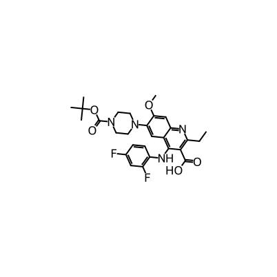 CCc1nc2cc(OC)c(N3CCN(C(=O)OC(C)(C)C)CC3)cc2c(Nc2ccc(F)cc2F)c1C(=O)O